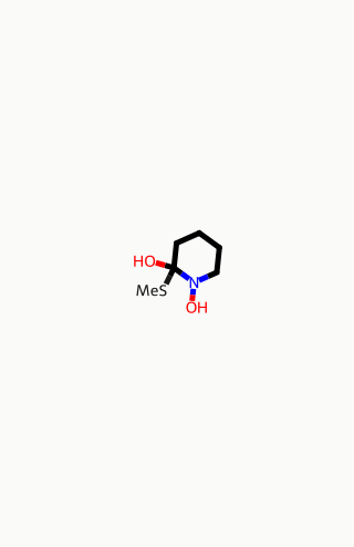 CSC1(O)CCCCN1O